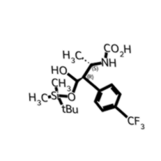 C[C@H](NC(=O)O)[C@@H](c1ccc(C(F)(F)F)cc1)C(O)O[Si](C)(C)C(C)(C)C